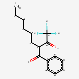 CCCCCCC(C(=O)c1ccccc1)C(=O)C(F)(F)F